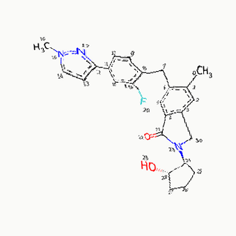 Cc1cc2c(cc1Cc1ccc(-c3ccn(C)n3)cc1F)C(=O)N([C@H]1CCC[C@@H]1O)C2